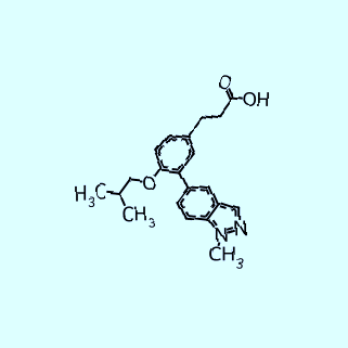 CC(C)COc1ccc(CCC(=O)O)cc1-c1ccc2c(cnn2C)c1